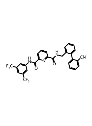 N#Cc1ccccc1-c1ccccc1CNC(=O)c1cccc(C(=O)Nc2cc(C(F)(F)F)cc(C(F)(F)F)c2)n1